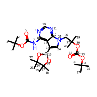 CC(C)(C)OC(=O)Nc1ncnc2c1c(B1OC(C)(C)C(C)(C)O1)cn2CC(C)(C)OC(=O)OC(C)(C)C